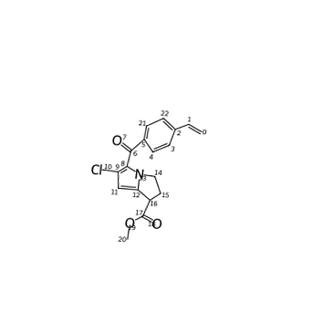 C=Cc1ccc(C(=O)c2c(Cl)cc3n2CCC3C(=O)OC)cc1